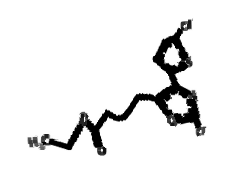 CCOC(=O)CCCc1oc(Cl)nc1-c1ccc(Cl)s1